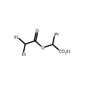 CCOC(=O)C(OC(=O)C(CC)CC)C(C)C